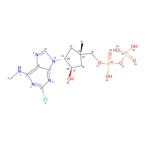 CNc1nc(Cl)nc2c1ncn2[C@@H]1C[C@](C)(COP(=O)(O)OP(=O)(O)O)C[C@H]1O